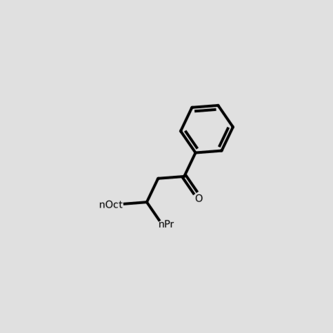 CCCCCCCCC(CCC)CC(=O)c1ccccc1